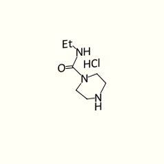 CCNC(=O)N1CCNCC1.Cl